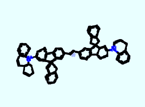 C1=CC2=C(CC1)N(c1ccc3c(c1)C1(Cc4ccccc4C1)c1cc(/C=C/c4ccc5c(c4)C4(Cc6ccccc6C4)C4C=C(N6CCCc7ccccc76)C=CC54)ccc1-3)c1ccccc1C=C2